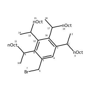 CCCCCCCCC(C)c1cc(CBr)c(C(C)CCCCCCCC)c(C(C)CCCCCCCC)c1C(C)CCCCCCCC